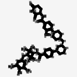 COc1cc(C(=O)NC2CCC(=O)NC2=O)ccc1N1CCN(C[C@H]2CN(c3ccc(C(=O)N[C@H]4C(C)(C)[C@H](Oc5cc(C)c(C#N)c(C)c5)C4(C)C)cc3)CCO2)CC1